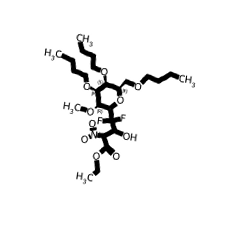 CCCCOC[C@H]1OC(C(F)(F)C(O)C(C(=O)OCC)[N+](=O)[O-])[C@H](OC)[C@@H](OCCCC)[C@H]1OCCCC